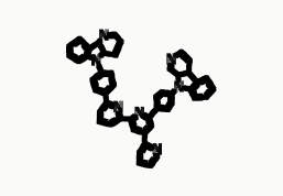 C1=CC2C(N=C1)c1ccccc1N2c1ccc(-c2cccc(-c3cc(-c4ccccn4)cc(-c4ccc(N5c6ccccc6C6C=CN=CC65)cc4)n3)n2)cc1